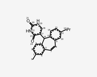 Cc1ccc2c(c1)C=Cc1cc(C(C)C)ccc1C2c1c[nH]c(=O)[nH]c1=O